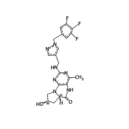 Cc1nc(NCc2cnn(Cc3cc(F)c(F)c(F)c3)c2)nc2c1NC(=O)[C@@H]1C[C@@H](O)CN21